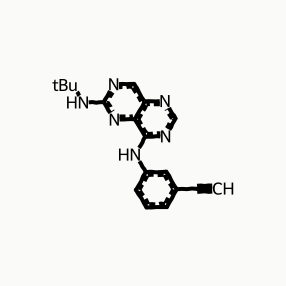 C#Cc1cccc(Nc2ncnc3cnc(NC(C)(C)C)nc23)c1